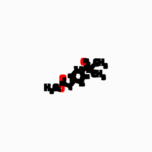 COC(=O)Cc1ccc(C(=O)C(C)C)cc1